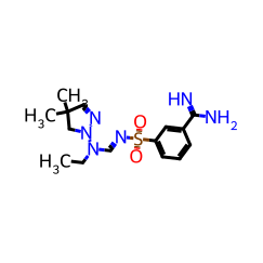 CCN(C=NS(=O)(=O)c1cccc(C(=N)N)c1)N1CC(C)(C)C=N1